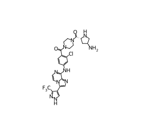 N[C@@H]1CN[C@@H](C(=O)N2CCN(C(=O)c3ccc(Nc4nccn5c(-c6c[nH]nc6C(F)(F)F)cnc45)cc3Cl)CC2)C1